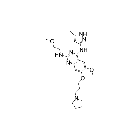 COCCNc1nc(Nc2cc(C)[nH]n2)c2cc(OC)c(OCCCN3CCCC3)cc2n1